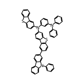 c1ccc(N(c2ccccc2)c2cccc(N(c3ccc4c(c3)sc3ccc(-c5ccc6c7ccccc7n(-c7ccccc7)c6c5)cc34)c3ccc4sc5ccccc5c4c3)c2)cc1